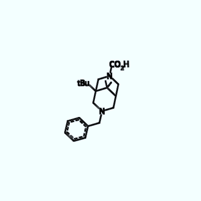 CC(C)(C)C12CN(Cc3ccccc3)CC(CN(C(=O)O)C1)C2(C)C